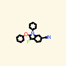 N#Cc1ccc2c(F)c(Oc3ccccc3)n(-c3ccccc3)c2c1